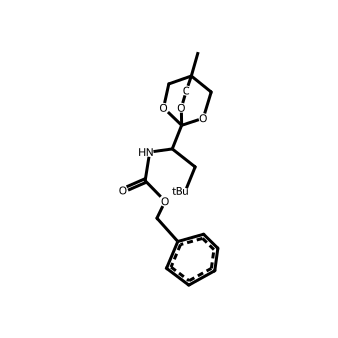 CC(C)(C)CC(NC(=O)OCc1ccccc1)C12OCC(C)(CO1)CO2